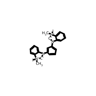 C[N+]1(I)[CH-]N(c2cccc(N3[CH-][N+](C)(I)c4ccccc43)c2)c2ccccc21